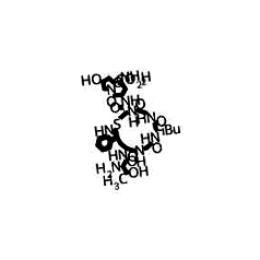 CC[C@H](C)[C@@H]1NC(=O)CNC(=O)[C@@H](NC(=O)[C@@H](N)[C@@H](C)O)Cc2c([nH]c3ccccc23)SC[C@H](C(=O)NC(CC(N)=O)C(=O)N2C[C@H](O)C[C@H]2C(=O)O)NC(=O)CNC1=O